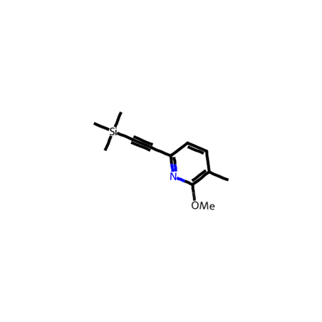 COc1nc(C#C[Si](C)(C)C)ccc1C